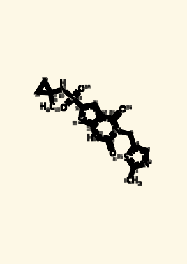 Cc1ncc(Cn2c(=O)[nH]c3sc(S(=O)(=O)NC4(C)CC4)cc3c2=O)s1